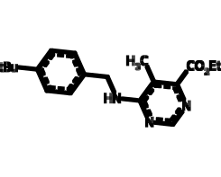 CCOC(=O)c1ncnc(NCc2ccc(C(C)(C)C)cc2)c1C